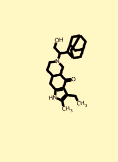 CCc1c(C)[nH]c2c1C(=O)C1CN(C(CO)C3C4CC5CC(C4)CC3C5)CCC1C2